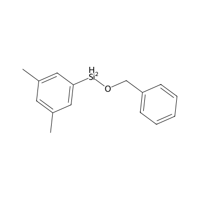 Cc1cc(C)cc([SiH2]OCc2ccccc2)c1